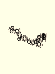 O=C(OCc1cccc(C2OCCO2)c1)c1ccc(COc2cccc(CN(C(=O)O[C@H]3CN4CCC3CC4)c3ccccc3)c2)cc1